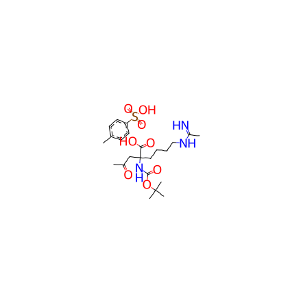 CC(=N)NCCCCC(CC(C)=O)(NC(=O)OC(C)(C)C)C(=O)O.Cc1ccc(S(=O)(=O)O)cc1